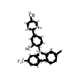 Cc1ccc2c3ccc(C(F)(F)F)cc3n(-c3ccc(-c4ncc(C#N)cn4)cc3C#N)c2c1